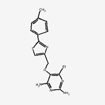 CCc1nc(N)nc(N)c1OCc1csc(-c2ccc(C)cc2)n1